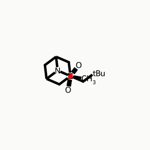 CN1CC2CC(C1)N2S(=O)(=O)CC(C)(C)C